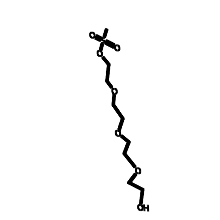 CS(=O)(=O)OCCOCCOCCOCCO